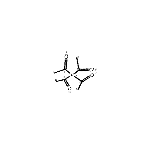 C[C](=O)[V]([C](C)=O)([C](C)=O)[C](C)=O